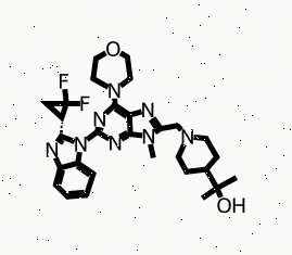 Cn1c(CN2CCC(C(C)(C)O)CC2)nc2c(N3CCOCC3)nc(-n3c([C@@H]4CC4(F)F)nc4ccccc43)nc21